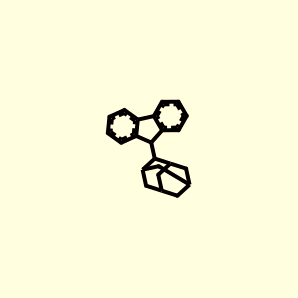 c1ccc2c(c1)-c1ccccc1C2C1C2CC3CC(C2)CC1C3